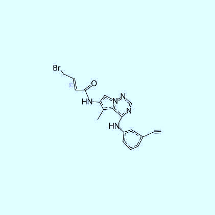 C#Cc1cccc(Nc2ncnn3cc(NC(=O)/C=C/CBr)c(C)c23)c1